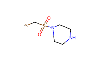 O=S(=O)(C[S])N1CCNCC1